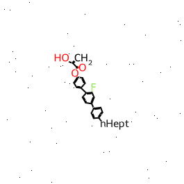 C=C(CO)C(=O)Oc1ccc(-c2ccc(-c3ccc(CCCCCCC)cc3)cc2F)cc1